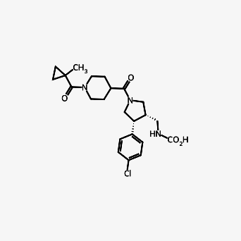 CC1(C(=O)N2CCC(C(=O)N3C[C@H](CNC(=O)O)[C@H](c4ccc(Cl)cc4)C3)CC2)CC1